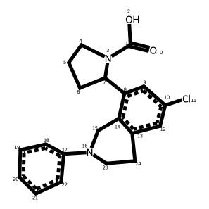 O=C(O)N1CCCC1c1cc(Cl)cc2c1CN(c1ccccc1)CC2